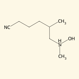 CC(CCCC#N)C[SiH](C)O